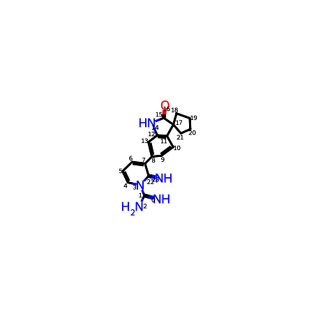 N=C(N)n1cccc(-c2ccc3c(c2)NC(=O)C32CCCC2)c1=N